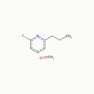 C=O.CCCc1cccc(F)n1